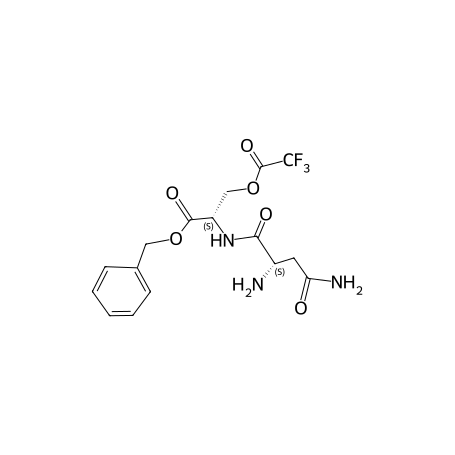 NC(=O)C[C@H](N)C(=O)N[C@@H](COC(=O)C(F)(F)F)C(=O)OCc1ccccc1